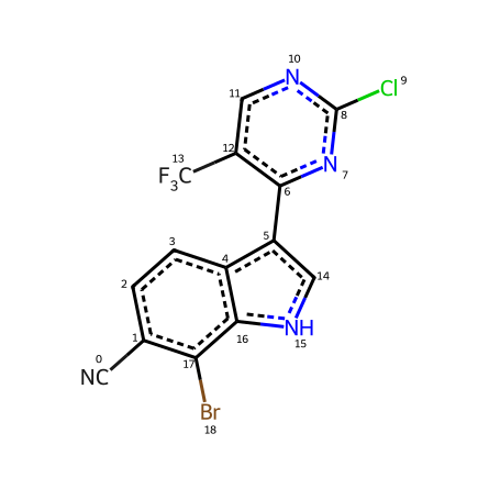 N#Cc1ccc2c(-c3nc(Cl)ncc3C(F)(F)F)c[nH]c2c1Br